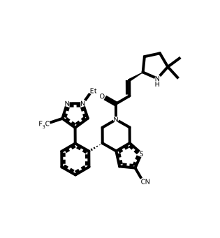 CCn1cc(-c2ccccc2[C@@H]2CN(C(=O)/C=C/[C@H]3CCC(C)(C)N3)Cc3sc(C#N)cc32)c(C(F)(F)F)n1